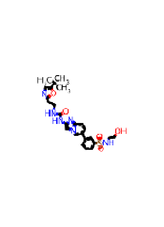 CC(C)(C)c1cnc(CCNC(=O)Nc2cn3cc(-c4cccc(S(=O)(=O)NCCO)c4)ccc3n2)o1